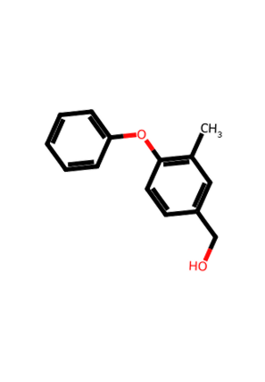 Cc1cc(CO)ccc1Oc1ccccc1